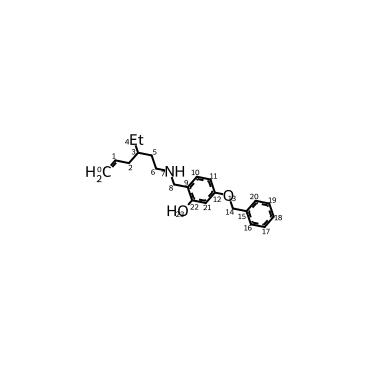 C=CCC(CC)CCNCc1ccc(OCc2ccccc2)cc1O